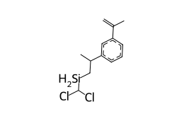 C=C(C)c1cccc(C(C)C[SiH2]C(Cl)Cl)c1